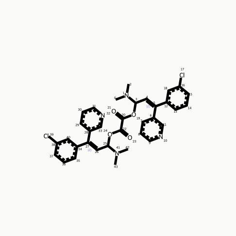 CN(C)C(/C=C(\c1cccnc1)c1cccc(Cl)c1)OC(=O)C(=O)OC(/C=C(\c1cccnc1)c1cccc(Cl)c1)N(C)C